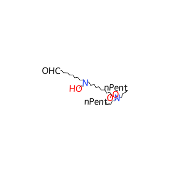 CCCCC/C=C\CCN(CC/C=C\CCCCC)OC(=O)CCCCCCCCCN(CCO)CCCCCCCCCC=O